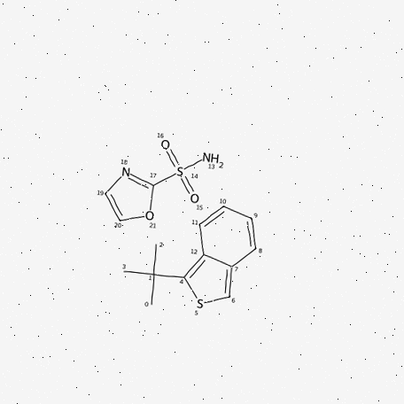 CC(C)(C)c1scc2ccccc12.NS(=O)(=O)c1ncco1